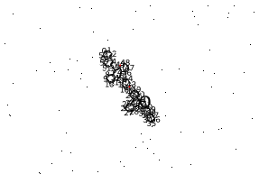 c1ccc2cc(-c3c4ccccc4c(-c4ccc(-c5ccc6c(c5)c5ccccc5c5c7cc8ccccc8cc7oc65)cc4)c4ccccc34)ccc2c1